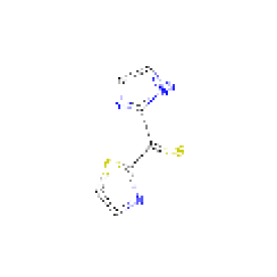 S=C(c1ncc[nH]1)c1nccs1